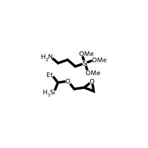 CCC([SiH3])OCC1CO1.CO[Si](CCCN)(OC)OC